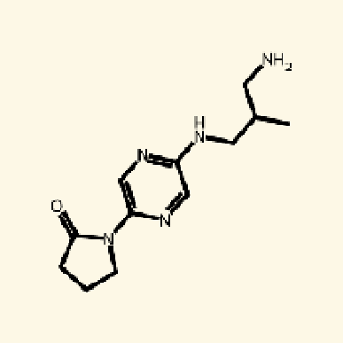 CC(CN)CNc1cnc(N2CCCC2=O)cn1